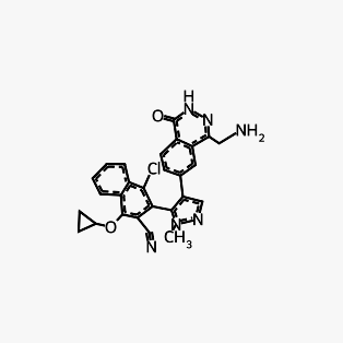 Cn1ncc(-c2ccc3c(=O)[nH]nc(CN)c3c2)c1-c1c(C#N)c(OC2CC2)c2ccccc2c1Cl